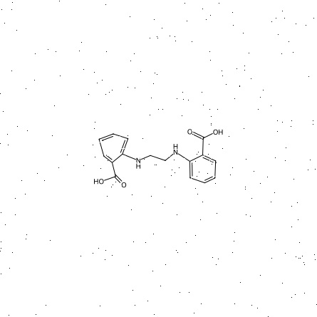 O=C(O)c1ccccc1NCCNc1ccccc1C(=O)O